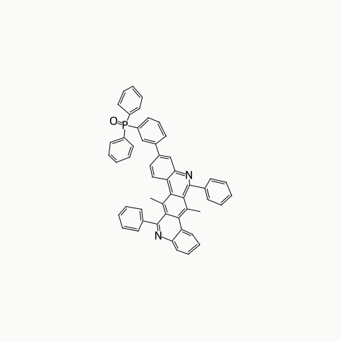 Cc1c2c(-c3ccccc3)nc3cc(-c4cccc(P(=O)(c5ccccc5)c5ccccc5)c4)ccc3c2c(C)c2c(-c3ccccc3)nc3ccccc3c12